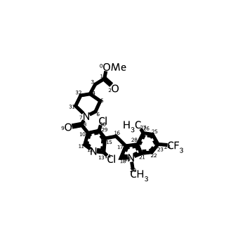 COC(=O)CC1CCN(C(=O)c2cnc(Cl)c(Cc3cn(C)c4cc(C(F)(F)F)cc(C)c34)c2Cl)CC1